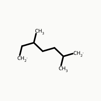 [CH2]CC(C)CCC([CH2])C